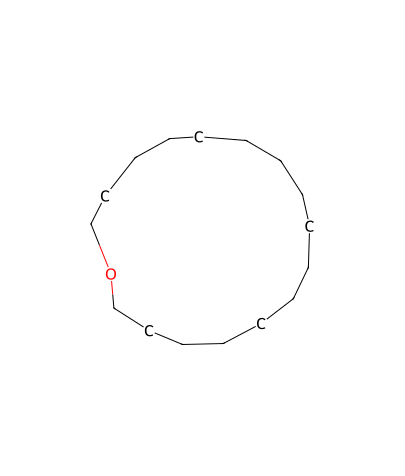 C1CCCCCCCCOCCCCCCC1